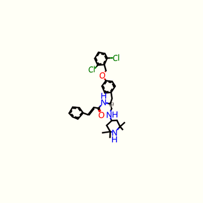 CC1(C)CC(NC[C@H](Cc2ccc(OCc3c(Cl)cccc3Cl)cc2)NC(=O)C=Cc2ccccc2)CC(C)(C)N1